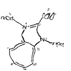 CCCCCCCCn1c(C(=O)[O-])[n+](CCCCCCCC)c2ccccc21